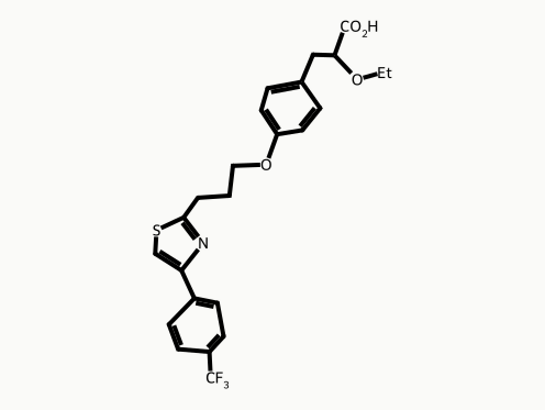 CCOC(Cc1ccc(OCCCc2nc(-c3ccc(C(F)(F)F)cc3)cs2)cc1)C(=O)O